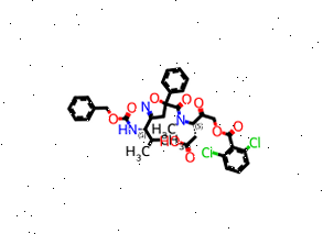 CC(C)[C@H](NC(=O)OCc1ccccc1)C1=NOC(C(=O)N(C)[C@@H](CC(=O)O)C(=O)COC(=O)c2c(Cl)cccc2Cl)(c2ccccc2)C1